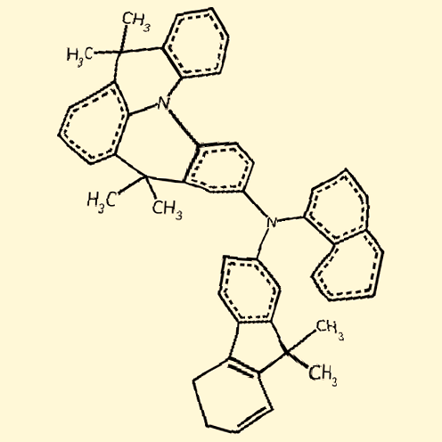 CC1(C)C2=C(CCC=C2)c2ccc(N(c3ccc4c(c3)C(C)(C)c3cccc5c3N4c3ccccc3C5(C)C)c3cccc4ccccc34)cc21